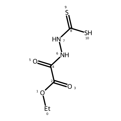 CCOC(=O)C(=O)NNC(=S)S